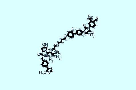 Cc1ncsc1-c1ccc(CNC(=O)[C@@H]2C[C@@H](O)CN2C(=O)[C@@H](NC(=O)COCCCCOc2ccc(-c3ccc(N4C(=S)N(c5ccc(C#N)c(C(F)(F)F)c5)C(=O)C4(C)C)cc3)c(F)c2)C(C)(C)C)cc1